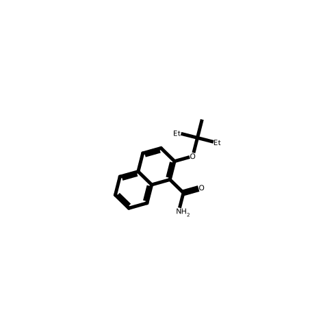 CCC(C)(CC)Oc1ccc2ccccc2c1C(N)=O